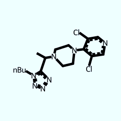 CCCCn1nnnc1C(C)N1CCN(c2c(Cl)cncc2Cl)CC1